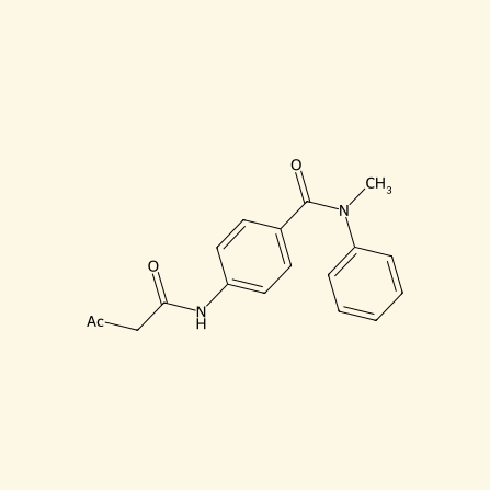 CC(=O)CC(=O)Nc1ccc(C(=O)N(C)c2ccccc2)cc1